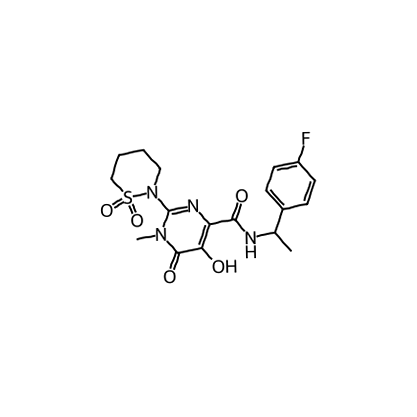 CC(NC(=O)c1nc(N2CCCCS2(=O)=O)n(C)c(=O)c1O)c1ccc(F)cc1